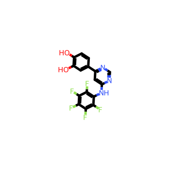 Oc1ccc(-c2cc(Nc3c(F)c(F)c(F)c(F)c3F)ncn2)cc1O